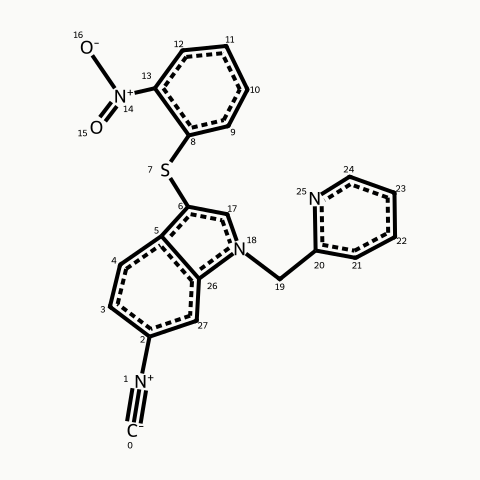 [C-]#[N+]c1ccc2c(Sc3ccccc3[N+](=O)[O-])cn(Cc3ccccn3)c2c1